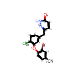 N#Cc1ccc(Oc2cc(Cc3ccc(=O)[nH]n3)ccc2Cl)c(Br)c1